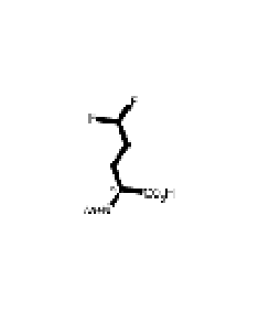 CN[C@@H](CCC(F)F)C(=O)O